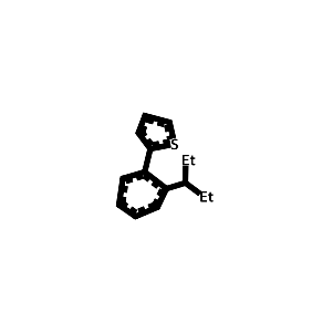 CCC(CC)c1ccccc1-c1cccs1